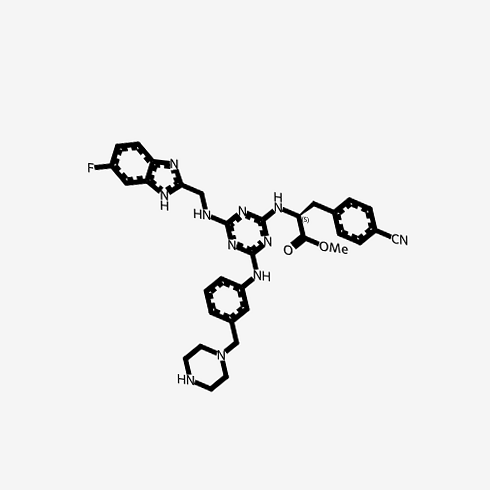 COC(=O)[C@H](Cc1ccc(C#N)cc1)Nc1nc(NCc2nc3ccc(F)cc3[nH]2)nc(Nc2cccc(CN3CCNCC3)c2)n1